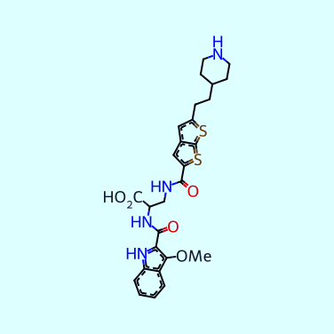 COc1c(C(=O)NC(CNC(=O)c2cc3cc(CCC4CCNCC4)sc3s2)C(=O)O)[nH]c2ccccc12